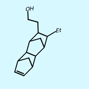 CCC1C(CCO)C2CC1C1C3C=CC(C3)C21